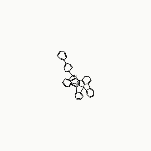 c1ccc(-c2ccc(C3=NC(c4cccc5c4C4(c6ccccc6-c6ccccc64)c4ccccc4-5)Nc4ccccc43)cc2)cc1